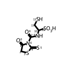 O=C1CSC(=S)N1C(=O)NC(CS)S(=O)(=O)O